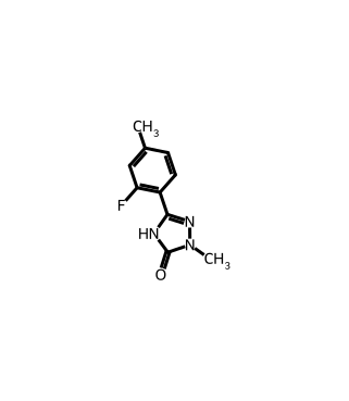 Cc1ccc(-c2nn(C)c(=O)[nH]2)c(F)c1